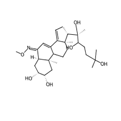 CO/N=C1/C=C2C3=CC[C@H]([C@@](C)(O)C(O)CCC(C)(C)O)[C@@]3(C)CCC2[C@@]2(C)C[C@H](O)[C@H](O)C[C@@H]12